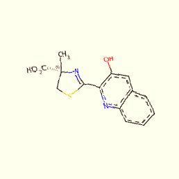 C[C@]1(C(=O)O)CSC(c2nc3ccccc3cc2O)=N1